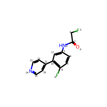 O=C(CF)Nc1ccc(F)c(-c2ccncc2)c1